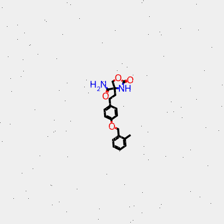 Cc1ccccc1COc1ccc(CCC2(C(N)=O)COC(=O)N2)cc1